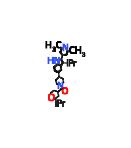 Cc1cc(-c2[nH]c3ccc(C4CCN(C(=O)C5CCOC(C(C)C)C5)CC4)cc3c2C(C)C)cc(C)n1